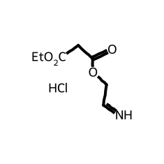 CCOC(=O)CC(=O)OCC=N.Cl